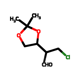 CC1(C)OCC(C(C=O)CCl)O1